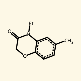 CCN1C(=O)COc2ccc(C)cc21